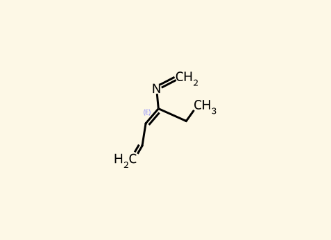 C=C/C=C(\CC)N=C